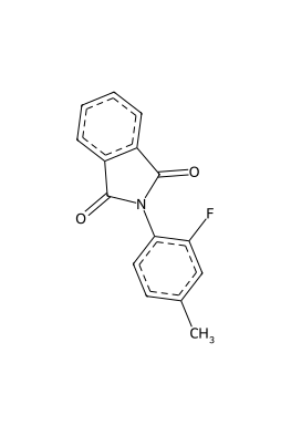 Cc1ccc(N2C(=O)c3ccccc3C2=O)c(F)c1